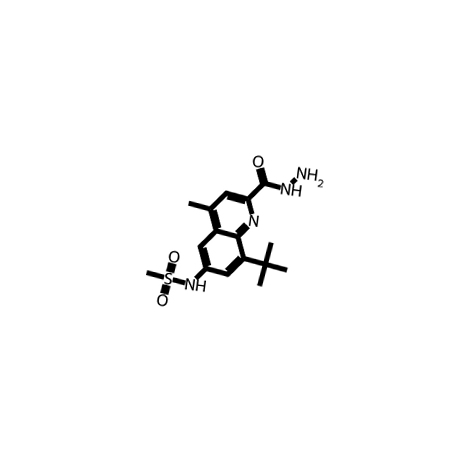 Cc1cc(C(=O)NN)nc2c(C(C)(C)C)cc(NS(C)(=O)=O)cc12